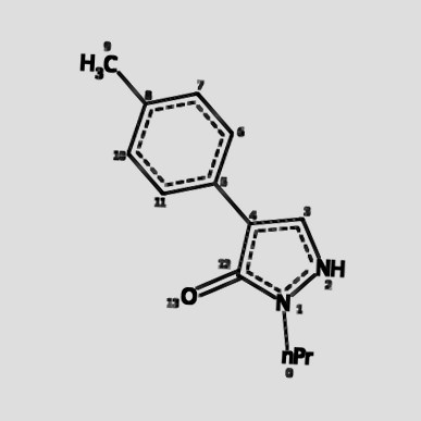 CCCn1[nH]cc(-c2ccc(C)cc2)c1=O